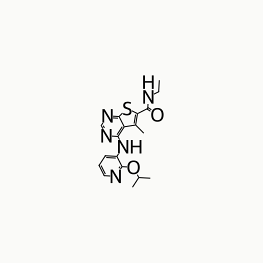 CCNC(=O)c1sc2ncnc(Nc3cccnc3OC(C)C)c2c1C